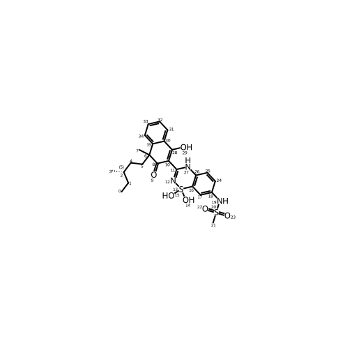 CC[C@H](C)CCC1(C)C(=O)C(C2=NS(O)(O)c3cc(NS(C)(=O)=O)ccc3N2)=C(O)c2ccccc21